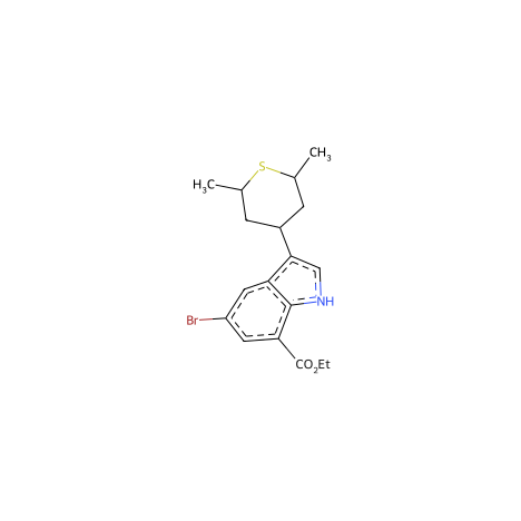 CCOC(=O)c1cc(Br)cc2c(C3CC(C)SC(C)C3)c[nH]c12